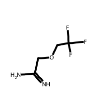 N=C(N)COCC(F)(F)F